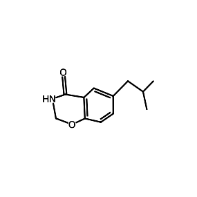 CC(C)Cc1ccc2c(c1)C(=O)NCO2